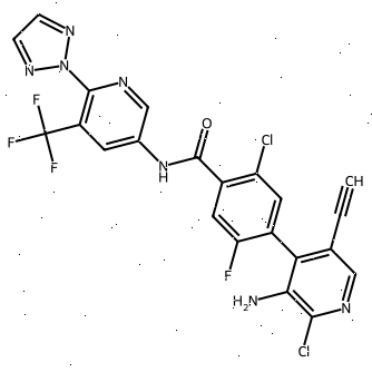 C#Cc1cnc(Cl)c(N)c1-c1cc(Cl)c(C(=O)Nc2cnc(-n3nccn3)c(C(F)(F)F)c2)cc1F